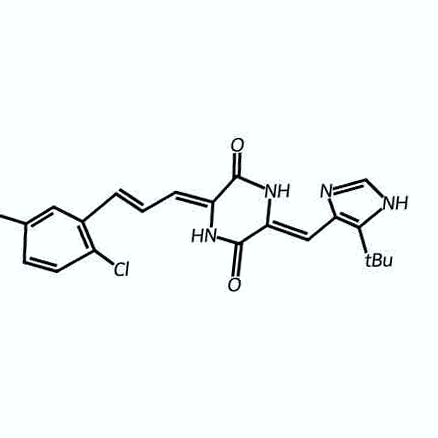 CC(C)(C)c1[nH]cnc1/C=c1\[nH]c(=O)/c(=C/C=C/c2cc(F)ccc2Cl)[nH]c1=O